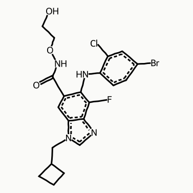 O=C(NOCCO)c1cc2c(ncn2CC2CCC2)c(F)c1Nc1ccc(Br)cc1Cl